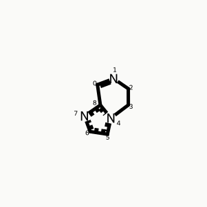 [C]1=NCCn2ccnc21